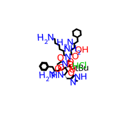 CC(C)(C)OC(=O)[C@@]1(C(=O)[C@H](Cc2c[nH]cn2)NC(=O)[C@@H](N)Cc2ccccc2)COCCN1C(=O)N(C(=O)CC(O)[C@@H](N)CC1CCCCC1)C(=O)[C@@H](N)CCCCN.Cl